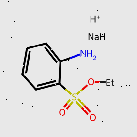 CCOS(=O)(=O)c1ccccc1N.[H+].[NaH]